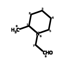 CC1CCCCN1CC=O